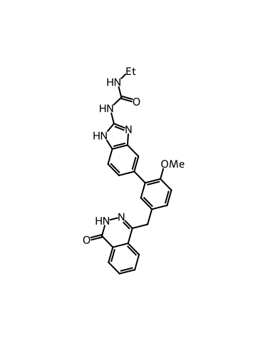 CCNC(=O)Nc1nc2cc(-c3cc(Cc4n[nH]c(=O)c5ccccc45)ccc3OC)ccc2[nH]1